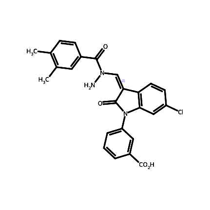 Cc1ccc(C(=O)N(N)/C=C2\C(=O)N(c3cccc(C(=O)O)c3)c3cc(Cl)ccc32)cc1C